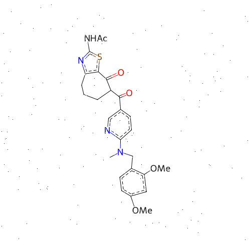 COc1ccc(CN(C)c2ccc(C(=O)C3CCCc4nc(NC(C)=O)sc4C3=O)cn2)c(OC)c1